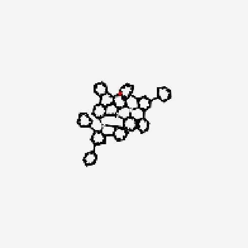 c1ccc(-c2cc(-c3ccccc3)c(B3c4cccc5c4-n4c6c3ccc3c7ccccc7c7ccc(c4c7c36)B5c3c(-c4ccccc4)cc(-c4ccccc4)cc3-c3ccccc3)c(-c3ccccc3)c2)cc1